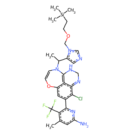 Cc1cc(N)nc(-c2cc3c4c(c2Cl)=NCNC=4N(C(C)c2cncn2COCC[Si](C)(C)C)C=CO3)c1C(F)(F)F